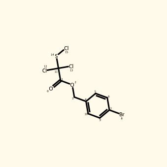 O=C(OCc1ccc(Br)cc1)C(Cl)(Cl)SCl